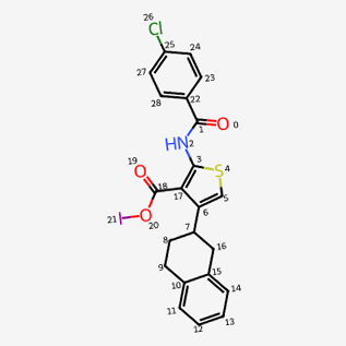 O=C(Nc1scc(C2CCc3ccccc3C2)c1C(=O)OI)c1ccc(Cl)cc1